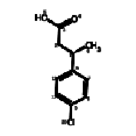 C[C@H](CC(=O)O)c1ccc(Cl)cc1